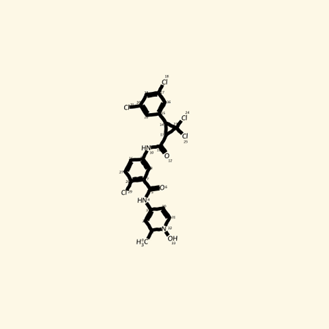 CC1C=C(NC(=O)c2cc(NC(=O)C3C(c4cc(Cl)cc(Cl)c4)C3(Cl)Cl)ccc2Cl)C=CN1O